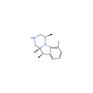 Cc1cccc2c1N1[C@H](C)CNC[C@H]1[C@@H]2C